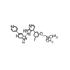 CN(C)CCOc1cc(F)cc(-c2ccnc3[nH]c(-c4n[nH]c5cnc(-c6ccncc6)cc45)nc23)c1